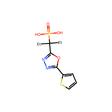 CCC(CC)(c1nnc(-c2cccs2)o1)P(=O)(O)O